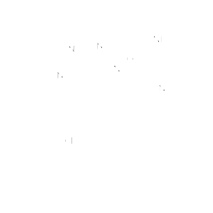 CCCCCCCc1c(-c2cccnc2C2CNCCO2)nc2ncnc(N)c2c1-c1cccc(Cl)c1